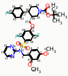 COc1ccc(CN(c2ncccn2)S(=O)(=O)c2cc(F)c(OC[C@H]3CN(C(=O)OC(C)(C)C)CC[C@@H]3c3ccc(F)cc3)cc2F)c(OC)c1